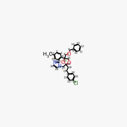 Cc1ccc(C2(COCc3ccccc3)COC(CCc3ccc(Cl)cc3)(Cn3ccnc3)O2)cc1